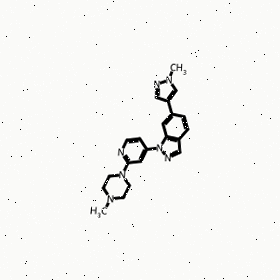 CN1CCN(c2cc(-n3ncc4ccc(-c5cnn(C)c5)cc43)ccn2)CC1